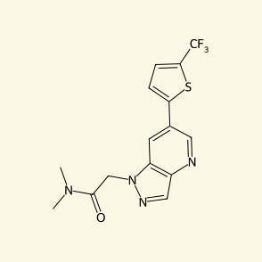 CN(C)C(=O)Cn1ncc2ncc(-c3ccc(C(F)(F)F)s3)cc21